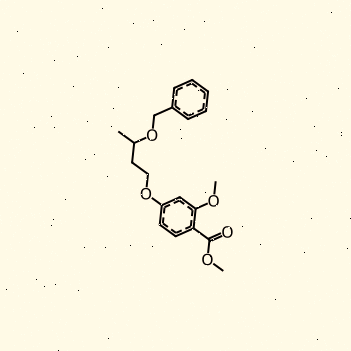 COC(=O)c1ccc(OCCC(C)OCc2ccccc2)cc1OC